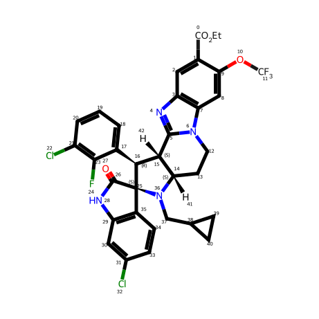 CCOC(=O)c1cc2nc3n(c2cc1OC(F)(F)F)CC[C@H]1[C@@H]3[C@H](c2cccc(Cl)c2F)[C@]2(C(=O)Nc3cc(Cl)ccc32)N1CC1CC1